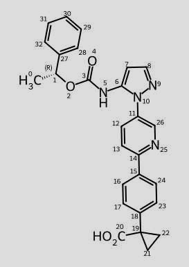 C[C@@H](OC(=O)Nc1ccnn1-c1ccc(-c2ccc(C3(C(=O)O)CC3)cc2)nc1)c1ccccc1